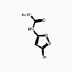 CC(=O)NC(=O)Nc1cc(C(C)C)no1